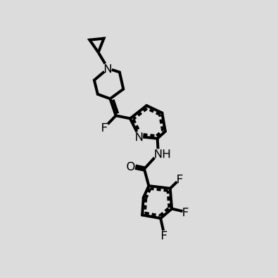 O=C(Nc1cccc(C(F)=C2CCN(C3CC3)CC2)n1)c1ccc(F)c(F)c1F